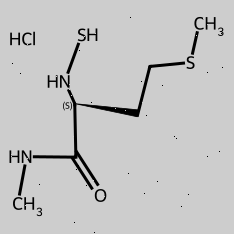 CNC(=O)[C@H](CCSC)NS.Cl